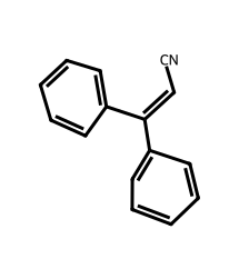 N#CC=C(c1ccccc1)c1ccccc1